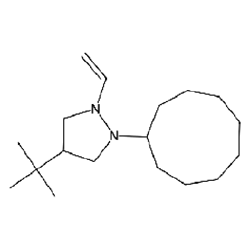 C=CN1CC(C(C)(C)C)CN1C1CCCCCCCC1